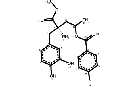 COC(=O)[C@](N)(Cc1ccc(O)c(O)c1)CC(C)OC(=O)c1ccc(F)cc1